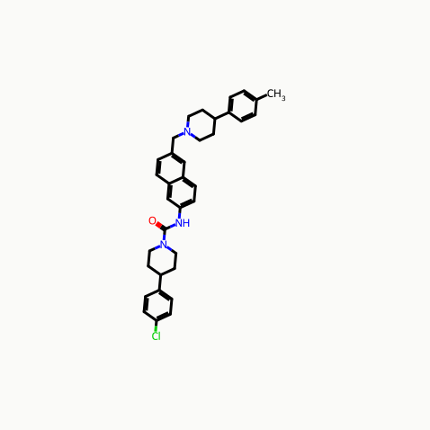 Cc1ccc(C2CCN(Cc3ccc4cc(NC(=O)N5CCC(c6ccc(Cl)cc6)CC5)ccc4c3)CC2)cc1